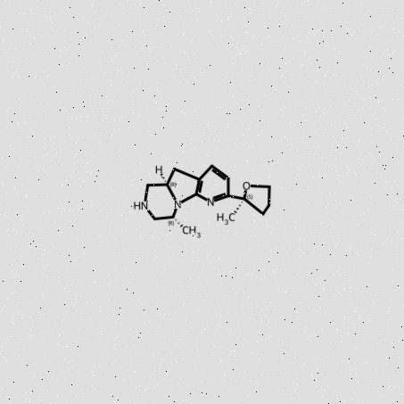 C[C@@H]1CNC[C@H]2Cc3ccc([C@]4(C)CCCO4)nc3N21